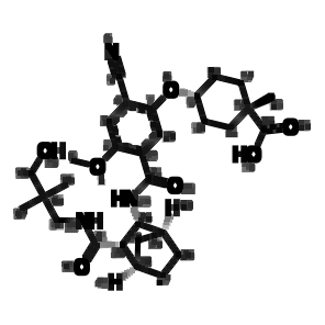 COc1cc(C#N)c(O[C@H]2CC[C@@](C)(C(=O)O)CC2)cc1C(=O)N[C@@H]1[C@H]2CC[C@H](C2)[C@@H]1C(=O)NCC(C)(C)CO